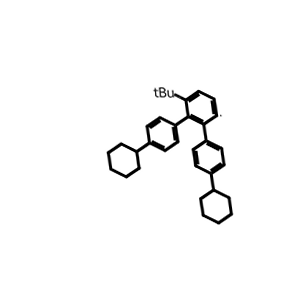 CC(C)(C)c1cc[c]c(-c2ccc(C3CCCCC3)cc2)c1-c1ccc(C2CCCCC2)cc1